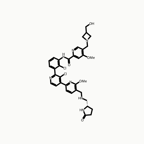 COc1cc(C(=O)Nc2cccc(-c3nccc(-c4ccc(CNC[C@@H]5CCC(=O)N5)c(OC)n4)c3Cl)c2Cl)ncc1CN1CC(CO)C1